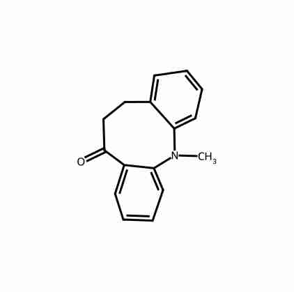 CN1c2ccccc2CCC(=O)c2ccccc21